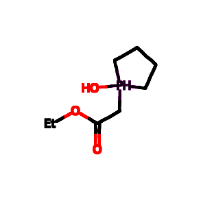 CCOC(=O)C[PH]1(O)CCCC1